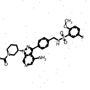 COc1ccc(F)cc1S(=O)(=O)NCc1ccc(-c2nn([C@@H]3CCCN(C(=O)O)C3)c3cncc(N)c23)cc1